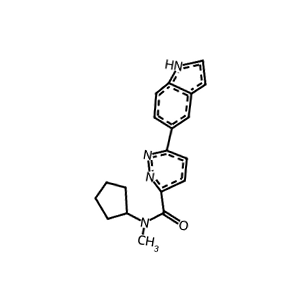 CN(C(=O)c1ccc(-c2ccc3[nH]ccc3c2)nn1)C1CCCC1